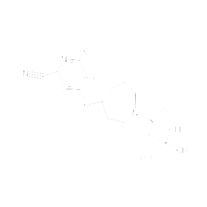 CC(C)(C)OC(=O)N1CCCC(Oc2cc(Cl)nc(C#N)c2)CC1